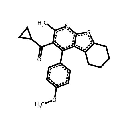 COc1ccc(-c2c(C(=O)C3CC3)c(C)nc3sc4c(c23)CCCC4)cc1